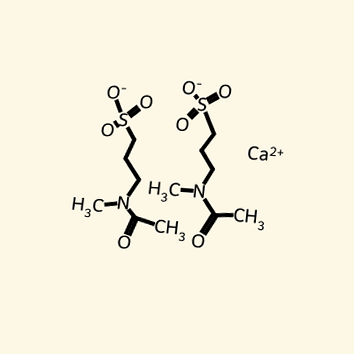 CC(=O)N(C)CCCS(=O)(=O)[O-].CC(=O)N(C)CCCS(=O)(=O)[O-].[Ca+2]